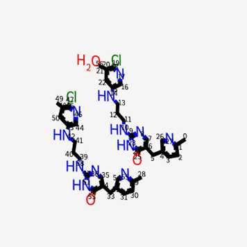 Cc1ccc(Cc2cnc(NCCCNc3cnc(Cl)c(C)c3)[nH]c2=O)cn1.Cc1ccc(Cc2cnc(NCCCNc3cnc(Cl)c(C)c3)[nH]c2=O)cn1.O